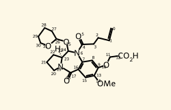 C=CCCC(=O)N1c2cc(OCC(=O)O)c(OC)cc2C(=O)N2CCC[C@H]2C1OC1CCCCO1